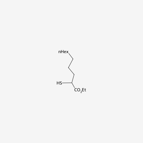 CCCCCCCCCC(S)C(=O)OCC